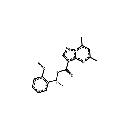 COc1ccccc1[C@@H](C)NC(=O)c1cnn2c(C)cc(C)nc12